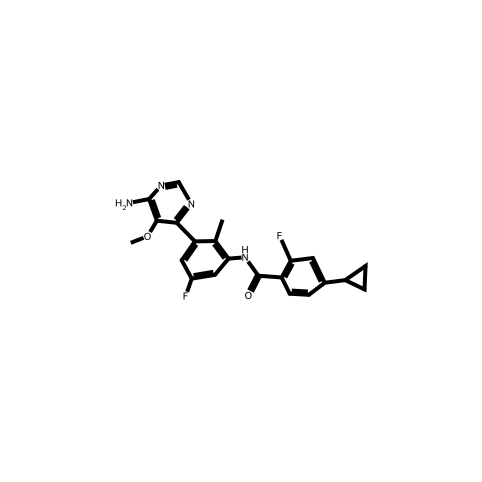 COc1c(N)ncnc1-c1cc(F)cc(NC(=O)c2ccc(C3CC3)cc2F)c1C